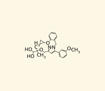 COc1cccc(-c2cc(COC(C)(C)C(O)O)nn2Cc2ccccc2OC2CC2)c1